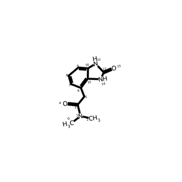 CN(C)C(=O)Cc1cccc2[nH]c(=O)[nH]c12